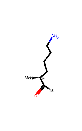 CCC(=O)[C@H](CCCCN)NC